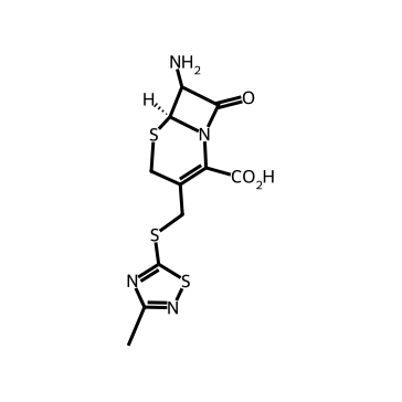 Cc1nsc(SCC2=C(C(=O)O)N3C(=O)C(N)[C@@H]3SC2)n1